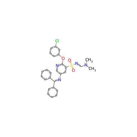 CN(C)C=NS(=O)(=O)c1cc(N=C(c2ccccc2)c2ccccc2)cnc1Oc1cccc(Cl)c1